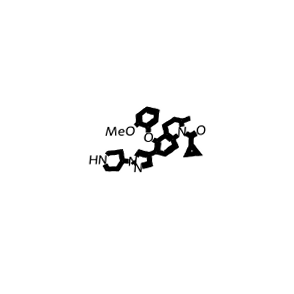 COc1ccccc1Oc1c(-c2cnn(C3CCNCC3)c2)ccc2c1CCC(C)N2C(=O)C1CC1